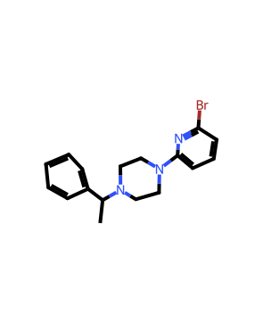 CC(c1ccccc1)N1CCN(c2cccc(Br)n2)CC1